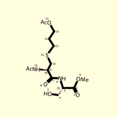 COC(=O)[C@H](CO)NC(=O)[C@H](CSCCCOC(C)=O)NC(C)=O